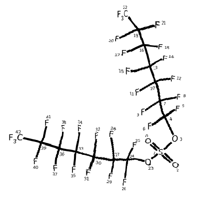 O=S(=O)(OC(F)(F)C(F)(F)C(F)(F)C(F)(F)C(F)(F)C(F)(F)C(F)(F)F)OC(F)(F)C(F)(F)C(F)(F)C(F)(F)C(F)(F)C(F)(F)C(F)(F)F